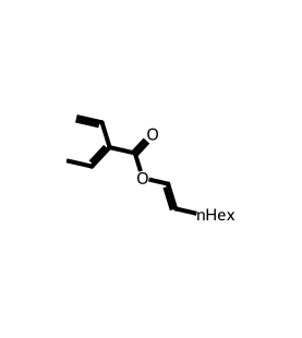 C=CC(=CC)C(=O)OC=CCCCCCC